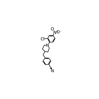 N#Cc1ccc(CC2CCN(c3ccc([N+](=O)[O-])cc3Cl)CC2)cc1